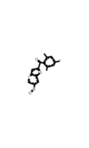 Cc1cc(F)cc(C)c1C(=O)c1cc2ccc(N=O)cc2s1